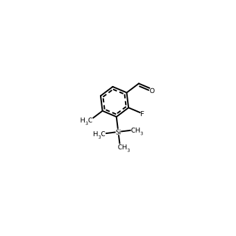 Cc1ccc(C=O)c(F)c1[Si](C)(C)C